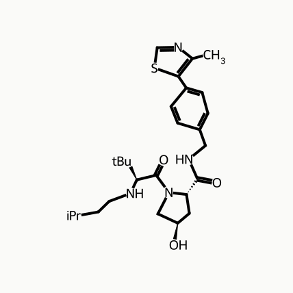 Cc1ncsc1-c1ccc(CNC(=O)[C@@H]2C[C@@H](O)CN2C(=O)[C@@H](NCCC(C)C)C(C)(C)C)cc1